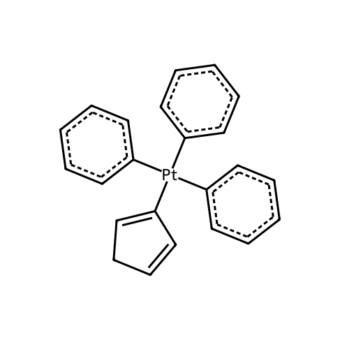 C1=C[C]([Pt]([c]2ccccc2)([c]2ccccc2)[c]2ccccc2)=CC1